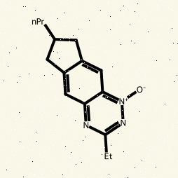 CCCC1Cc2cc3nc(CC)n[n+]([O-])c3cc2C1